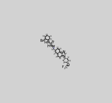 FC(F)(F)OC1=CCC(n2cnc3c4ccc(/C=N/NC(=S)Nc5ccccc5Br)cc4ccc32)C=C1